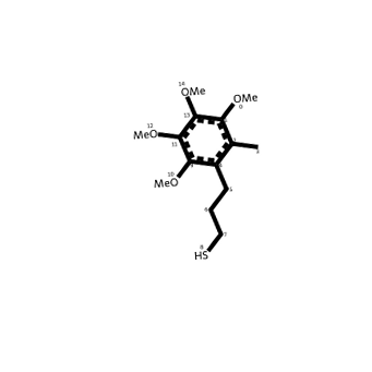 COc1c(C)c(CCCS)c(OC)c(OC)c1OC